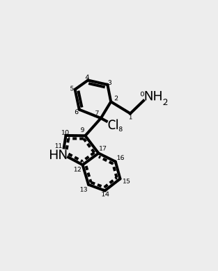 NCC1C=CC=CC1(Cl)c1c[nH]c2ccccc12